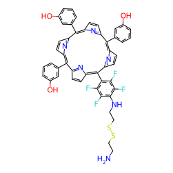 NCCSSCCNc1c(F)c(F)c(C2=C3C=CC(=N3)C(c3cccc(O)c3)=C3C=CC(=N3)C(c3cccc(O)c3)=C3C=CC(=N3)C(c3cccc(O)c3)=C3C=CC2=N3)c(F)c1F